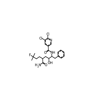 CC(C)(F)CCC(CC(O)C(Cc1ccccc1)NC(=O)c1cnc(Cl)c(Cl)c1)C(N)=O